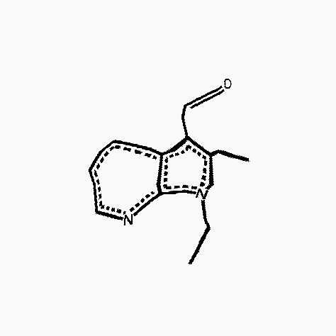 CCn1c(C)c(C=O)c2cccnc21